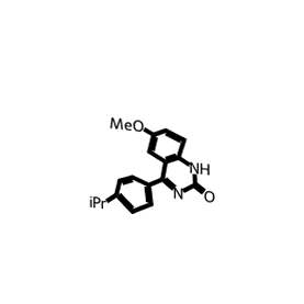 COc1ccc2[nH]c(=O)nc(-c3ccc(C(C)C)cc3)c2c1